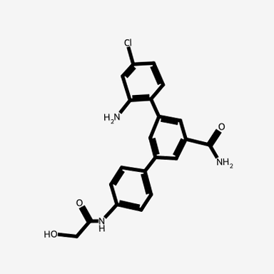 NC(=O)c1cc(-c2ccc(NC(=O)CO)cc2)cc(-c2ccc(Cl)cc2N)c1